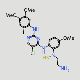 COc1ccc(Nc2nc(Nc3cc(OC)c(OC)cc3C)ncc2Cl)c(N(S)CCN)c1